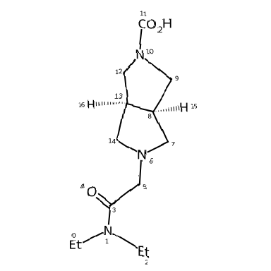 CCN(CC)C(=O)CN1C[C@@H]2CN(C(=O)O)C[C@@H]2C1